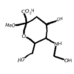 COC1(C(=O)O)CC(O)C(NCO)C(CO)O1